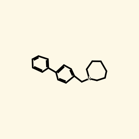 c1ccc(-c2ccc(CN3CCCCCC3)cc2)cc1